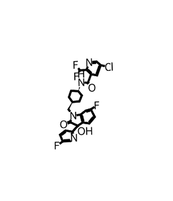 O=C(N[C@H]1CC[C@H](CN2C(=O)C(O)(c3ccc(F)cn3)c3ccc(F)cc32)CC1)c1cc(Cl)cnc1C(F)F